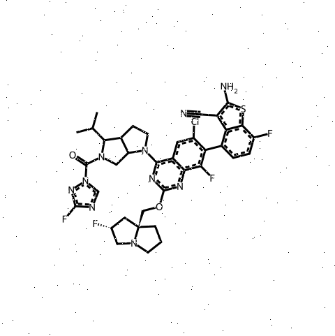 CC(C)C1C2CCN(c3nc(OC[C@@]45CCCN4C[C@H](F)C5)nc4c(F)c(-c5ccc(F)c6sc(N)c(C#N)c56)c(Cl)cc34)C2CN1C(=O)n1cnc(F)n1